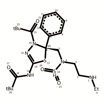 CCNCCN(C[C@@]1(c2ccccc2)SC(NC(=O)C(C)(C)C)=NN1C(=O)C(C)(C)C)[SH](=O)=O